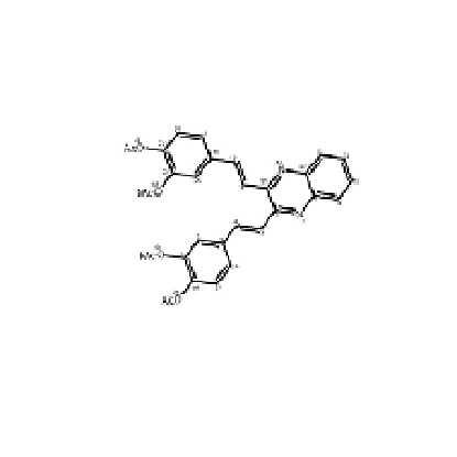 COc1cc(C=Cc2nc3ccccc3nc2C=Cc2ccc(OC(C)=O)c(OC)c2)ccc1OC(C)=O